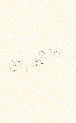 COc1ccc(CN2C(=O)COc3ccc(N4C(=O)O[C@@H]5C[C@H](NCCn6c(=O)cnc7ccc(OC)cc76)CC[C@H]54)nc32)cc1